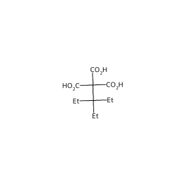 CCC(CC)(CC)C(C(=O)O)(C(=O)O)C(=O)O